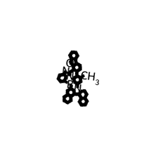 Cc1cc2c3c4c1c1ccc5c6ccccc6oc5c1c1nc5cccc(c5n14)B3c1cc3ccccc3c3c4c5ccccc5ccc4n-2c13